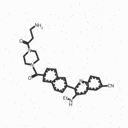 CCNc1cc2cc(C#N)ccc2nc1-c1ccc2cc(C(=O)N3CCN(C(=O)CCN)CC3)ccc2c1